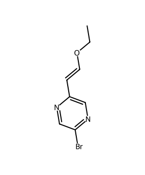 CCOC=Cc1cnc(Br)cn1